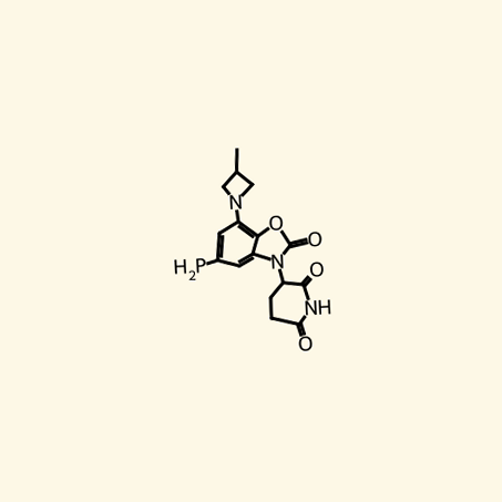 CC1CN(c2cc(P)cc3c2oc(=O)n3C2CCC(=O)NC2=O)C1